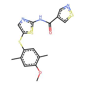 COc1cc(C)c(Sc2cnc(NC(=O)c3cnsc3)s2)cc1C